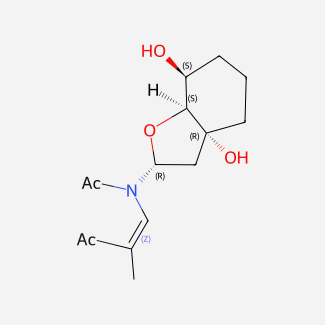 CC(=O)/C(C)=C\N(C(C)=O)[C@H]1C[C@]2(O)CCC[C@H](O)[C@@H]2O1